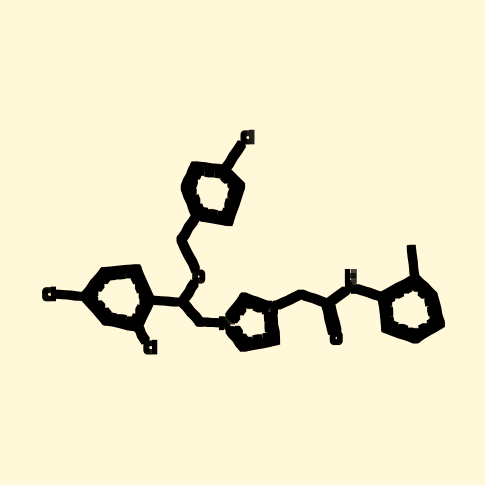 Cc1ccccc1NC(=O)Cn1cc[n+](CC(OCc2ccc(Cl)cc2)c2ccc(Cl)cc2Cl)c1